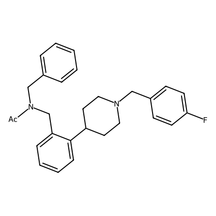 CC(=O)N(Cc1ccccc1)Cc1ccccc1C1CCN(Cc2ccc(F)cc2)CC1